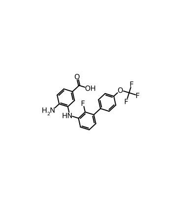 Nc1ccc(C(=O)O)cc1Nc1cccc(-c2ccc(OC(F)(F)F)cc2)c1F